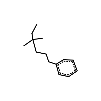 [CH2]CC(C)(C)CCCc1ccccc1